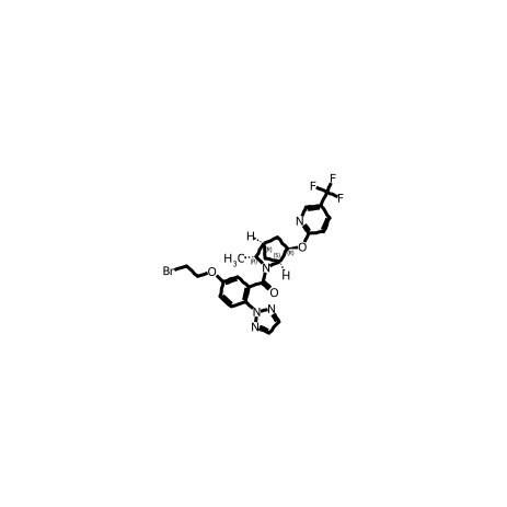 C[C@@H]1[C@H]2C[C@@H](Oc3ccc(C(F)(F)F)cn3)[C@H](C2)N1C(=O)c1cc(OCCBr)ccc1-n1nccn1